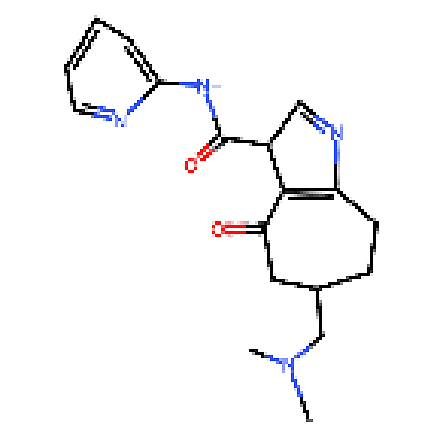 CN(C)CC1CCC2=C(C(=O)C1)C(C(=O)Nc1ccccn1)C=N2